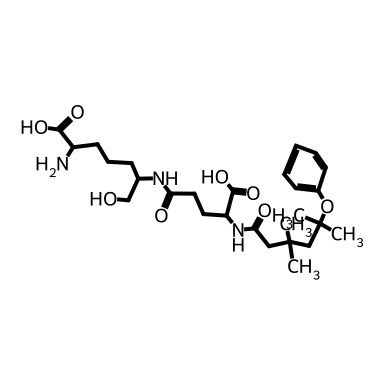 CC(C)(CC(=O)NC(CCC(=O)NC(CO)CCCC(N)C(=O)O)C(=O)O)CC(C)(C)Oc1ccccc1